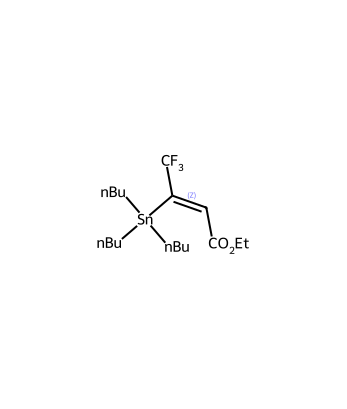 CCC[CH2][Sn]([CH2]CCC)([CH2]CCC)/[C](=C\C(=O)OCC)C(F)(F)F